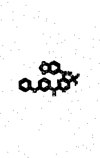 FC(F)(F)c1cnc(Nc2cccc(Oc3ccccc3)c2)nc1Nc1ccc2c(c1)OCO2